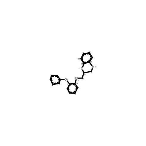 c1ccc(Oc2ccccc2NCC2COc3ccccc3O2)cc1